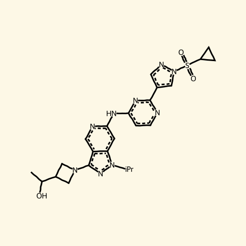 CC(O)C1CN(c2nn(C(C)C)c3cc(Nc4ccnc(-c5cnn(S(=O)(=O)C6CC6)c5)n4)ncc23)C1